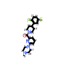 CN1CCN(c2cccc(C(=O)N3CCC(c4cc(F)ccc4F)CC3)n2)CC1